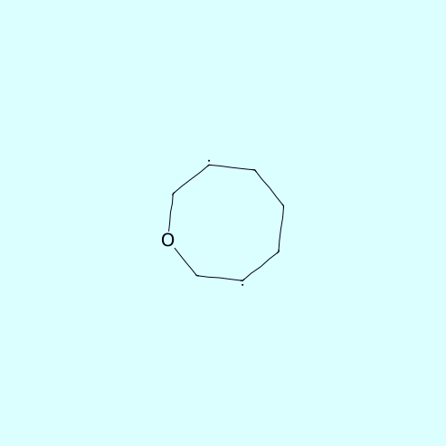 [CH]1CCC[CH]COC1